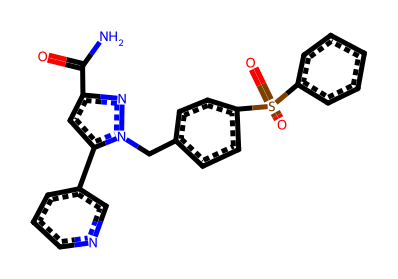 NC(=O)c1cc(-c2cccnc2)n(Cc2ccc(S(=O)(=O)c3ccccc3)cc2)n1